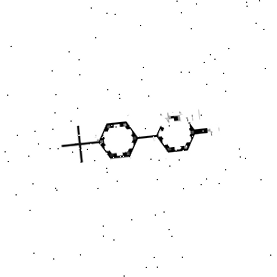 CC(C)(C)c1ccc(-c2ccc(=O)[nH]n2)cc1